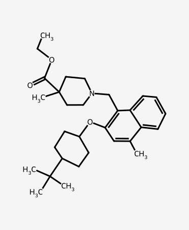 CCOC(=O)C1(C)CCN(Cc2c(OC3CCC(C(C)(C)C)CC3)cc(C)c3ccccc23)CC1